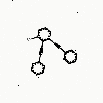 [SiH3]c1cccc(C#Cc2ccccc2)c1C#Cc1ccccc1